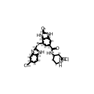 Cl.Cl.O=C(NC1CCNCC1)c1cc(Sc2nc3cc(Cl)ccc3[nH]2)c2[nH]c(=O)[nH]c2c1